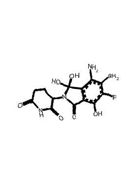 Bc1c(N)c2c(c(O)c1F)C(=O)N(C1CCC(=O)NC1=O)C2(O)O